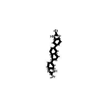 CCc1nc2ccc(-c3ccc4cc(-c5ccc6nc(C(C)C)[nH]c6c5)ccc4c3)cc2[nH]1